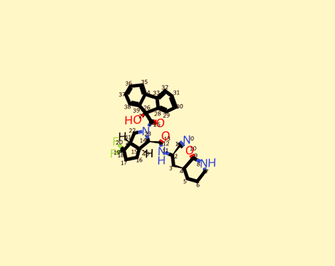 N#C[C@@H](C[C@@H]1CCCNC1=O)NC(=O)[C@H]1[C@H]2CCC(F)(F)[C@H]2CN1C(=O)C1(O)c2ccccc2-c2ccccc21